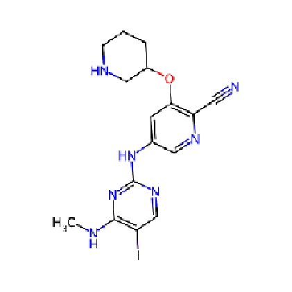 CNc1nc(Nc2cnc(C#N)c(OC3CCCNC3)c2)ncc1I